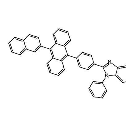 Cc1cccc2c1nc(-c1ccc(-c3c4ccccc4c(-c4ccc5ccccc5c4)c4ccccc34)cc1)n2-c1ccccc1